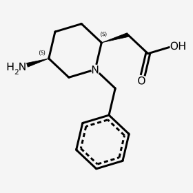 N[C@H]1CC[C@@H](CC(=O)O)N(Cc2ccccc2)C1